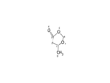 CC1CC(=O)OCO1